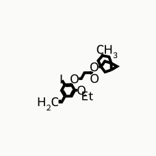 C=Cc1cc(I)c(OCCC(=O)OC23CC(C)CC4(CC4C2)C3)c(OCC)c1